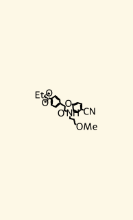 CCS(=O)(=O)c1ccc(C(Oc2ccc(C#N)cc2)C(=O)NCCCOC)cc1